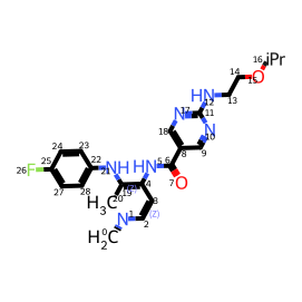 C=N/C=C\C(NC(=O)c1cnc(NCCOC(C)C)nc1)=C(/C)Nc1ccc(F)cc1